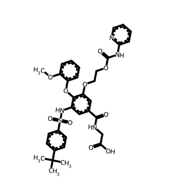 COc1ccccc1Oc1c(NS(=O)(=O)c2ccc(C(C)(C)C)cc2)cc(C(=O)NCC(=O)O)cc1OCCOC(=O)Nc1ccccn1